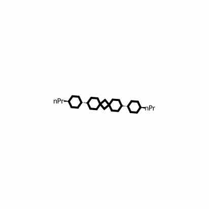 CCC[C@H]1CC[C@H](C2CCC3(CC2)CC2(CCC([C@H]4CC[C@H](CCC)CC4)CC2)C3)CC1